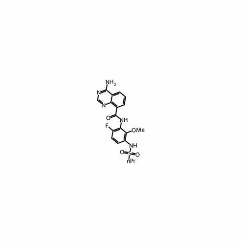 CCCS(=O)(=O)Nc1ccc(F)c(NC(=O)c2cccc3c(N)ncnc23)c1OC